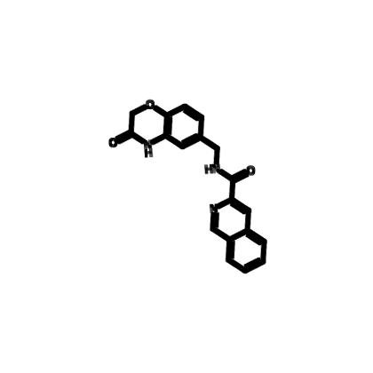 O=C1COc2ccc(CNC(=O)c3cc4ccccc4cn3)cc2N1